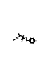 CC(NC(=O)OCc1ccccc1)OP=O